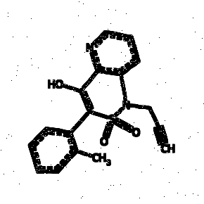 C#CCN1c2cccnc2C(O)=C(c2ccccc2C)S1(=O)=O